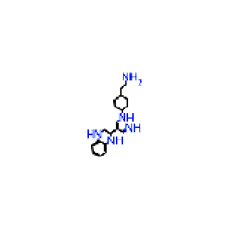 N=C/C(=C\NC1CCC(CCN)CC1)C1CNc2ccccc2N1